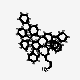 C/C=C\C=C1/CC(c2ccccc2)[Si]2(c3ccccc3)c3cc(-c4ccccc4)ccc3N3c4ccc(-c5ccccc5)cc4[Si](c4ccccc4)(c4ccccc4)c4cc5c6ccccc6n1c5c2c43